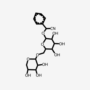 N#CC(OC1OC(COC2OCC(O)C(O)C2O)C(O)C(O)C1O)c1ccccc1